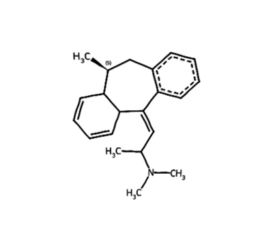 CC(C=C1c2ccccc2C[C@H](C)C2C=CC=CC12)N(C)C